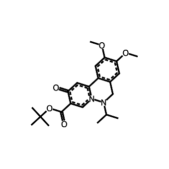 COc1cc2c(cc1OC)-c1cc(=O)c(C(=O)OC(C)(C)C)cn1N(C(C)C)C2